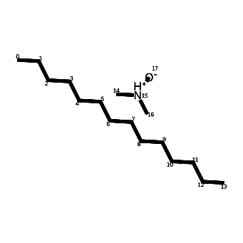 CCCCCCCCCCCCCC.C[NH+](C)[O-]